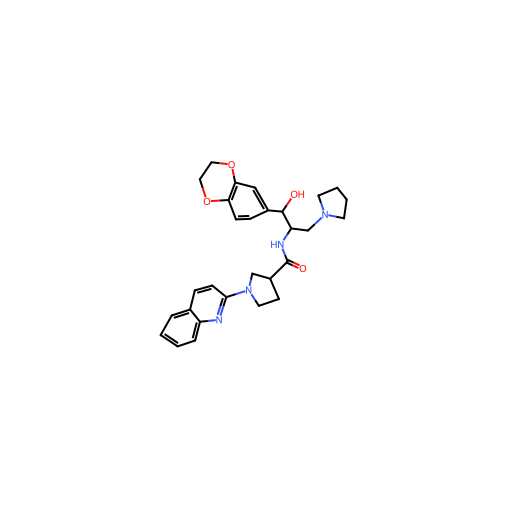 O=C(NC(CN1CCCC1)C(O)c1ccc2c(c1)OCCO2)C1CCN(c2ccc3ccccc3n2)C1